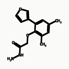 Cc1cc(C)c(OCC(=O)NN)c(-c2ccoc2)c1